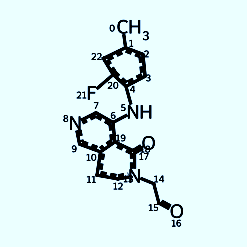 Cc1ccc(Nc2cncc3ccn(CC=O)c(=O)c23)c(F)c1